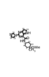 CO[C@]1(C)CC[C@H](NC(=O)c2nc(-n3ccnc3)nc3cc[nH]c23)CC1